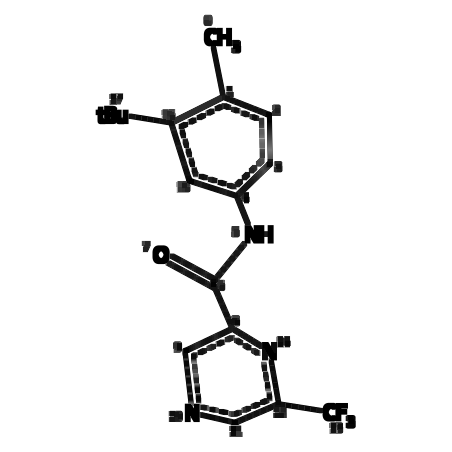 Cc1ccc(NC(=O)c2cncc(C(F)(F)F)n2)cc1C(C)(C)C